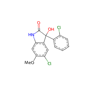 COc1cc2c(cc1Cl)C(O)(c1ccccc1Cl)C(=O)N2